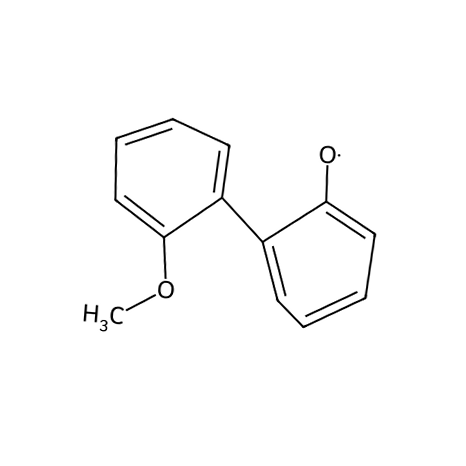 COc1ccccc1-c1ccccc1[O]